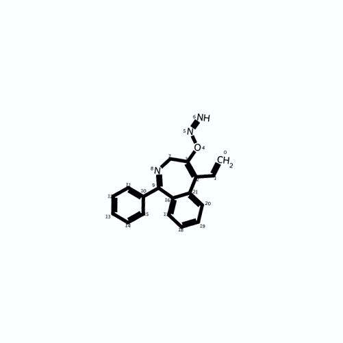 C=CC1=C(ON=N)CN=C(c2ccccc2)c2ccccc21